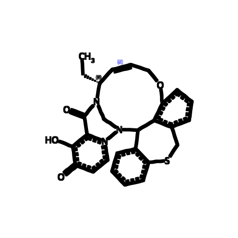 CC[C@@H]1/C=C\COc2cccc3c2C(c2ccccc2SC3)N2CN1C(=O)c1c(O)c(=O)ccn12